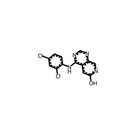 Oc1cc2c(Nc3ccc(Cl)cc3Cl)ncnc2cn1